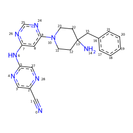 N#Cc1cnc(Nc2cc(N3CCC(N)(Cc4ccccc4)CC3)ncn2)cn1